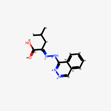 CC(C)C/C(=N\Nc1nncc2ccccc12)C(=O)O